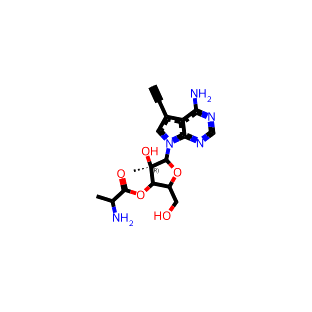 C#Cc1cn(C2OC(CO)C(OC(=O)C(C)N)[C@@]2(C)O)c2ncnc(N)c12